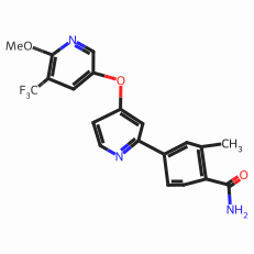 COc1ncc(Oc2ccnc(-c3ccc(C(N)=O)c(C)c3)c2)cc1C(F)(F)F